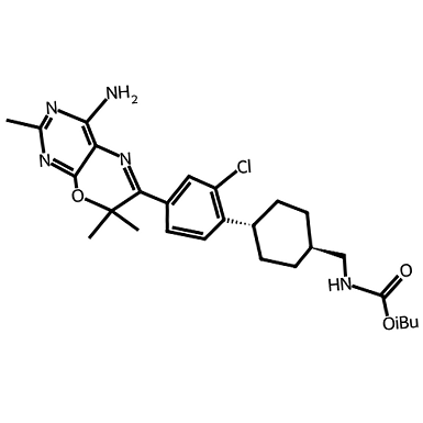 Cc1nc(N)c2c(n1)OC(C)(C)C(c1ccc([C@H]3CC[C@H](CNC(=O)OCC(C)C)CC3)c(Cl)c1)=N2